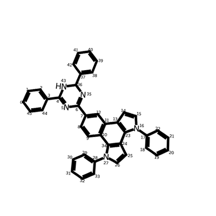 c1ccc(C2=NC(c3ccc4c(c3)c3ccn(-c5ccccc5)c3c3ccn(-c5ccccc5)c43)=NC(c3ccccc3)N2)cc1